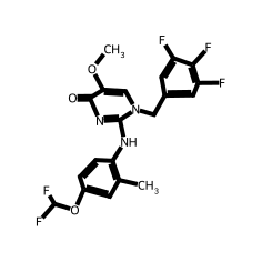 COc1cn(Cc2cc(F)c(F)c(F)c2)c(Nc2ccc(OC(F)F)cc2C)nc1=O